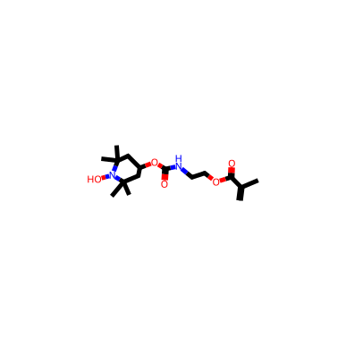 C=C(C)C(=O)OCCNC(=O)OC1CC(C)(C)N(O)C(C)(C)C1